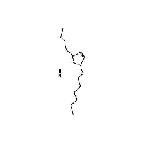 C#N.CCCCCCCn1ccc(CCCC)c1